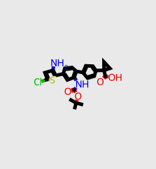 CC(C)(C)OC(=O)Nc1cc(-c2sc(Cl)cc2N)ccc1-c1ccc(C2(C(=O)O)CC2)cc1